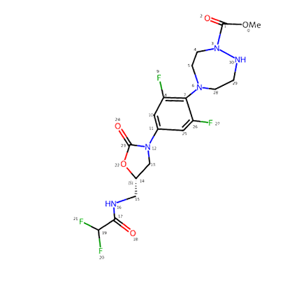 COC(=O)N1CCN(c2c(F)cc(N3C[C@H](CNC(=O)C(F)F)OC3=O)cc2F)CCN1